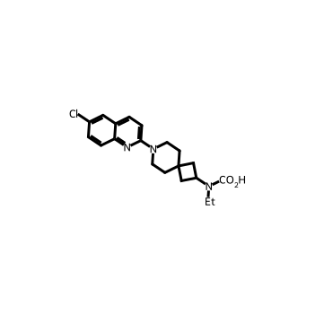 CCN(C(=O)O)C1CC2(CCN(c3ccc4cc(Cl)ccc4n3)CC2)C1